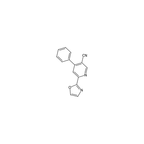 N#Cc1cnc(-c2ncco2)cc1-c1ccccc1